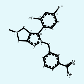 CN1Cc2nn(Cc3cccc(C(=O)O)c3)c(-c3ccc(F)cc3F)c2C1